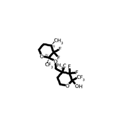 C[C@H]1CCO[C@@](OCC2(C)CCOC(O)(C(F)(F)F)C2(F)F)(C(F)(F)F)C1(F)F